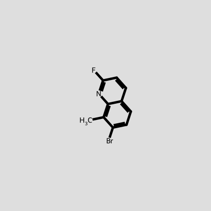 Cc1c(Br)ccc2ccc(F)nc12